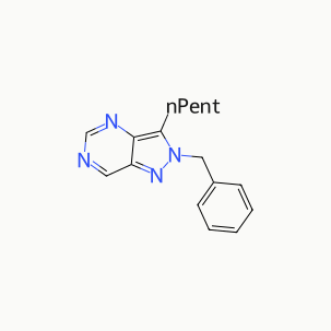 CCCCCc1c2ncncc2nn1Cc1ccccc1